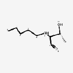 CCCCCN[C@H]([C]=O)[C@@H](C)O